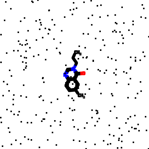 CCCn1cnc2ccc(C)cc2c1=O